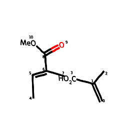 C=C(C)C(=O)O.CC=C(C)C(=O)OC